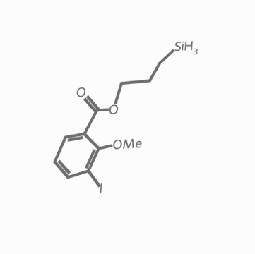 COc1c(I)cccc1C(=O)OCCC[SiH3]